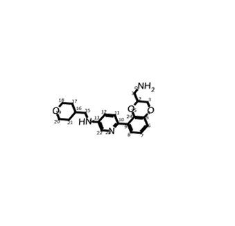 NCC1COc2cccc(-c3ccc(NCC4CCOCC4)cn3)c2O1